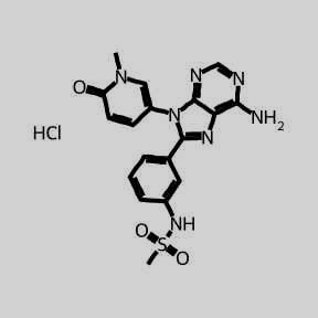 Cl.Cn1cc(-n2c(-c3cccc(NS(C)(=O)=O)c3)nc3c(N)ncnc32)ccc1=O